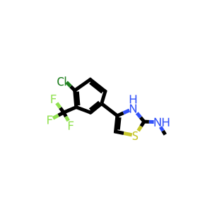 CNC1NC(c2ccc(Cl)c(C(F)(F)F)c2)=CS1